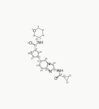 O=C(N[C@H]1CCCOC1)c1cc(-c2ccc3nc(NC(=O)C4CC4)cn3c2)cs1